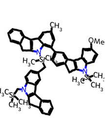 COc1ccc2c(c1)c1c(n2[Si](C)(C)C)Cc2ccc(-c3cc(C)cc4c5c(n([Si](C)(C)Cc6ccc7c(c6)c6c(n7C[Si](C)(C)C)Cc7ccccc7-6)c34)Cc3ccccc3-5)cc2-1